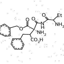 CCC(N)C(=O)NC(=O)[C@](N)(C(=O)OCc1ccccc1)C(Cc1ccccc1)C(=O)O